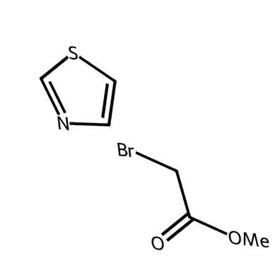 COC(=O)CBr.c1cscn1